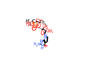 CCC(C)(O)P(=O)(O)OC[C@H]1O[C@@H](n2ccc3c(=O)[nH]c(N)nc32)[C@H](O)[C@@H]1O